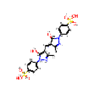 CC1=NN(c2ccc(S(=O)(=O)O)cc2)C(=O)/C1=C/c1c(C)nn(-c2ccc(S(=O)(=O)O)cc2)c1O